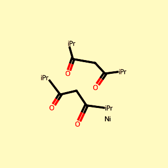 CC(C)C(=O)CC(=O)C(C)C.CC(C)C(=O)CC(=O)C(C)C.[Ni]